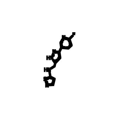 Fc1ccc(-c2cc(CNc3ccns3)[nH]n2)cn1